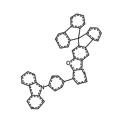 c1ccc2c(c1)-c1ccccc1C21c2ccccc2-c2cc3c(cc21)oc1c(-c2ccc(-n4c5ccccc5c5ccccc54)cc2)cccc13